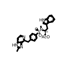 CC(=O)OC[C@H](Cc1c[nH]c2ccccc12)N(C)S(=O)(=O)c1ccc(Cc2nccc3[nH]c(C)nc23)cc1